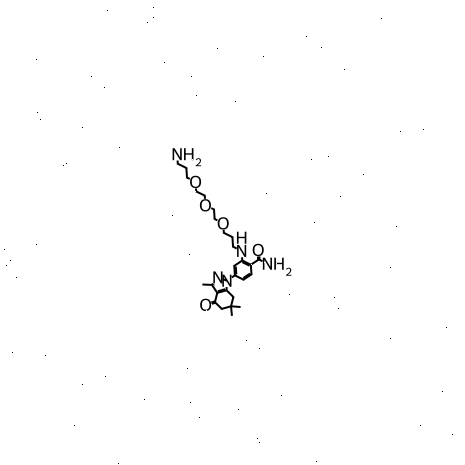 Cc1nn(-c2ccc(C(N)=O)c(NCCCOCCOCCOCCCN)c2)c2c1C(=O)CC(C)(C)C2